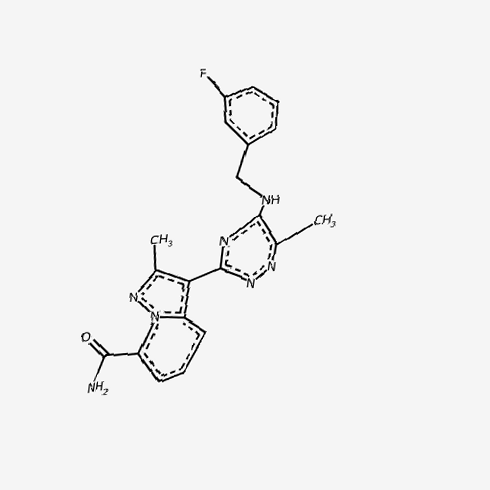 Cc1nnc(-c2c(C)nn3c(C(N)=O)cccc23)nc1NCc1cccc(F)c1